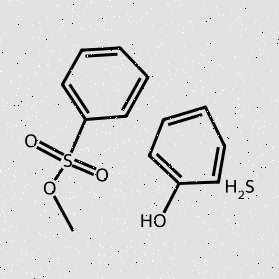 COS(=O)(=O)c1ccccc1.Oc1ccccc1.S